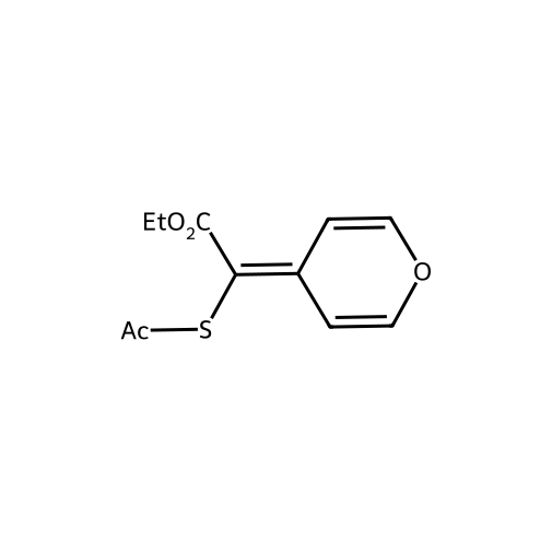 CCOC(=O)C(SC(C)=O)=C1C=COC=C1